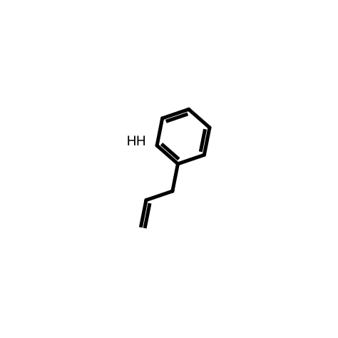 C=CCc1ccccc1.[HH]